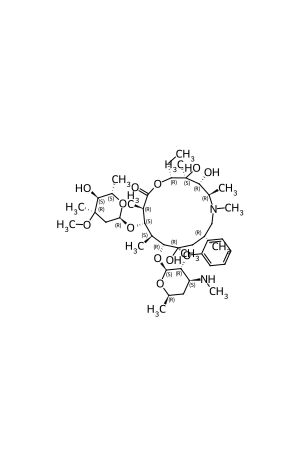 CC[C@H]1OC(=O)[C@H](C)[C@@H](O[C@H]2C[C@@](C)(OC)[C@@H](O)[C@H](C)O2)[C@H](C)[C@@H](O[C@@H]2O[C@H](C)C[C@H](NC)[C@H]2Oc2ccccc2)[C@](C)(O)C[C@@H](C)CN(C)[C@H](C)[C@@H](O)[C@]1(C)O